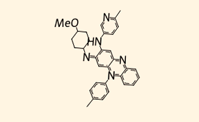 COC1CCC(N=c2cc3n(-c4ccc(C)cc4)c4ccccc4nc-3cc2Nc2ccc(C)nc2)CC1